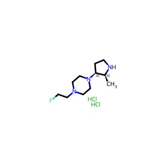 C[C@@H]1NCC[C@@H]1N1CCN(CCF)CC1.Cl.Cl